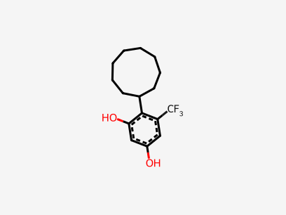 Oc1cc(O)c(C2CCCCCCCC2)c(C(F)(F)F)c1